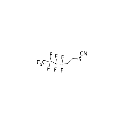 N#CSCCC(F)(F)C(F)(F)C(F)(F)C(F)(F)F